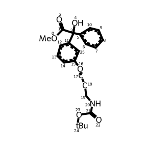 COC(=O)C(O)(c1ccccc1)c1cccc(OCCCNC(=O)OC(C)(C)C)c1